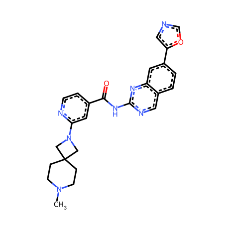 CN1CCC2(CC1)CN(c1cc(C(=O)Nc3ncc4ccc(-c5cnco5)cc4n3)ccn1)C2